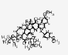 COc1ccc(CN(Cc2ccc(OC)cc2)c2cc(C)c(C(F)(F)F)c(-c3c4c5c6c(nc(=O)n(C(=O)OC(C)(C)C)c6c3F)N(C(=O)OC(C)(C)C)CCN5CC4)n2)cc1